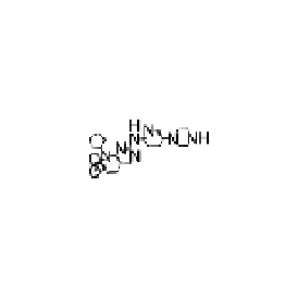 O=S1(=O)C=Cc2cnc(Nc3ccc(N4CCNCC4)cn3)nc2N1C1CCCC1